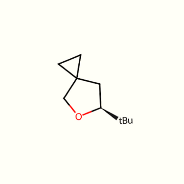 CC(C)(C)[C@@H]1CC2(CC2)CO1